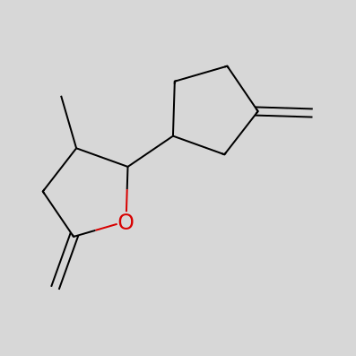 C=C1CCC(C2OC(=C)CC2C)C1